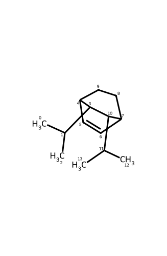 CC(C)C1C2C=CC(CC2)C1C(C)C